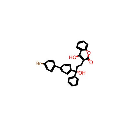 O=c1oc2ccccc2c(O)c1CC[C@](O)(c1ccccc1)c1ccc(-c2ccc(Br)cc2)cc1